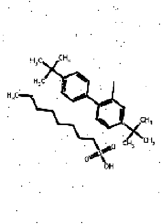 CC(C)(C)c1ccc(-c2ccc(C(C)(C)C)cc2I)cc1.CCCCCCCCS(=O)(=O)O